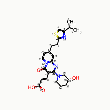 CC(C)c1csc(CCc2ccn3c(=O)c(C=CC(=O)O)c(N4CCC[C@@H](O)C4)nc3c2)n1